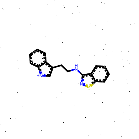 c1ccc2c(CCNc3nsc4ccccc34)c[nH]c2c1